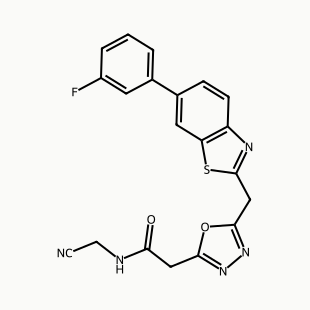 N#CCNC(=O)Cc1nnc(Cc2nc3ccc(-c4cccc(F)c4)cc3s2)o1